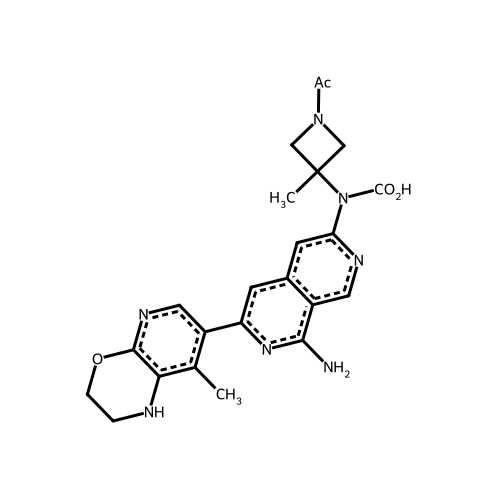 CC(=O)N1CC(C)(N(C(=O)O)c2cc3cc(-c4cnc5c(c4C)NCCO5)nc(N)c3cn2)C1